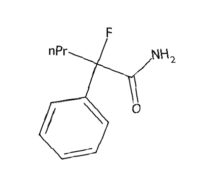 CCCC(F)(C(N)=O)c1ccccc1